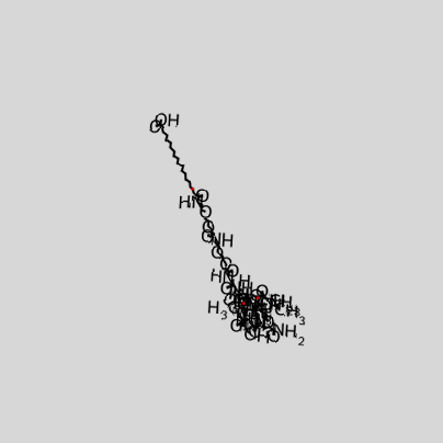 C[C@H](CNC(=O)[C@H](CO)NC(=O)[C@H](CCC(N)=O)NC(=O)[C@H](CCN(C)C)NC(=O)[C@H](CO)NC(=O)[C@H](CCC(N)=O)NC(=O)[C@@H](CO)NC(=O)CNC(=O)COCCOCCNC(=O)COCCOCCNC(=O)CCCCCCCCCCCCCCCCCCC(=O)O)N(C)C